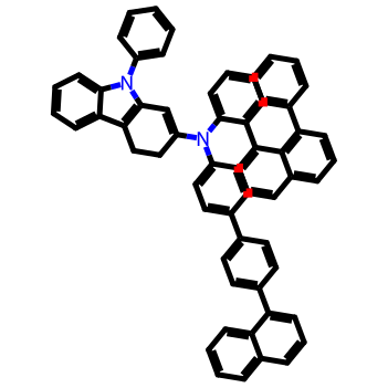 C1=C(N(c2ccc(-c3ccc(-c4cccc5ccccc45)cc3)cc2)c2ccccc2-c2cccc3cccc(-c4ccccc4)c23)CCc2c1n(-c1ccccc1)c1ccccc21